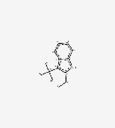 CCc1nc2ccccn2c1C(C)(C)C